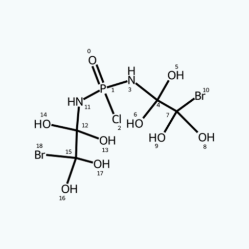 O=P(Cl)(NC(O)(O)C(O)(O)Br)NC(O)(O)C(O)(O)Br